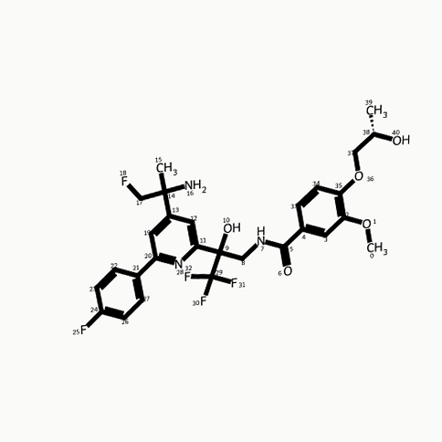 COc1cc(C(=O)NCC(O)(c2cc(C(C)(N)CF)cc(-c3ccc(F)cc3)n2)C(F)(F)F)ccc1OC[C@H](C)O